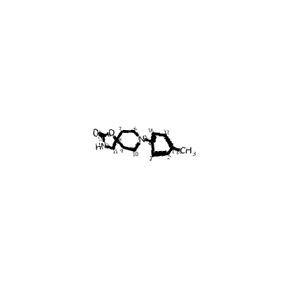 Cc1ccc(N2CCC3(CC2)CNC(=O)O3)cc1